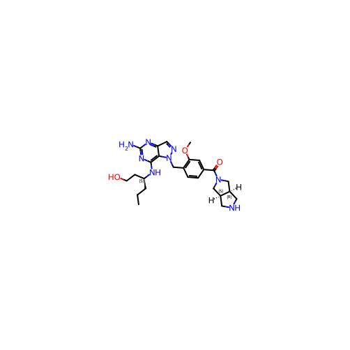 CCC[C@@H](CCO)Nc1nc(N)nc2cnn(Cc3ccc(C(=O)N4C[C@H]5CNC[C@H]5C4)cc3OC)c12